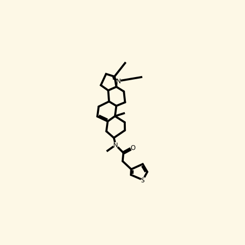 CC1C2CCC3C4CC=C5CC(N(C)C(=O)Cc6ccsc6)CCC5(C)C4CCC32CN1C